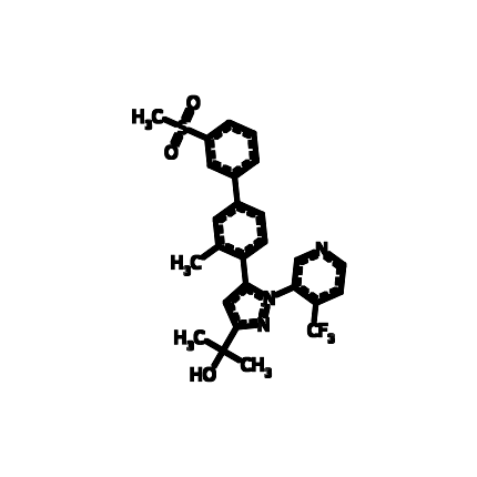 Cc1cc(-c2cccc(S(C)(=O)=O)c2)ccc1-c1cc(C(C)(C)O)nn1-c1cnccc1C(F)(F)F